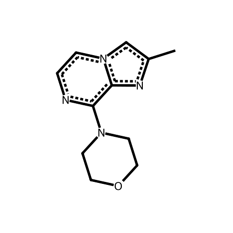 Cc1cn2ccnc(N3CCOCC3)c2n1